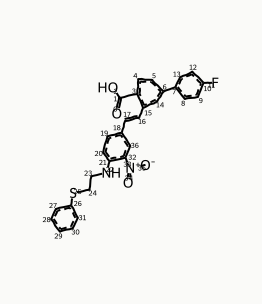 O=C(O)c1ccc(-c2ccc(F)cc2)cc1C=Cc1ccc(NCCSc2ccccc2)c([N+](=O)[O-])c1